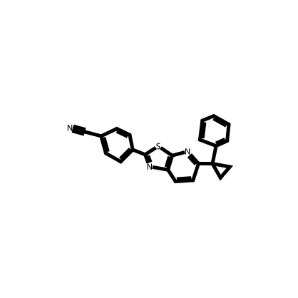 N#Cc1ccc(-c2nc3ccc(C4(c5ccccc5)CC4)nc3s2)cc1